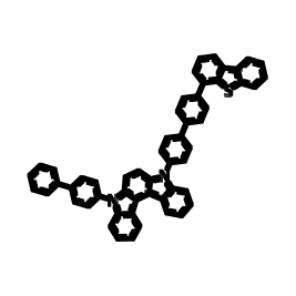 c1ccc(-c2ccc(-n3c4ccccc4c4c5c6ccccc6n(-c6ccc(-c7ccc(-c8cccc9c8sc8ccccc89)cc7)cc6)c5ccc43)cc2)cc1